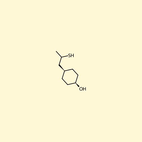 CC(S)C[C@H]1CC[C@@H](O)CC1